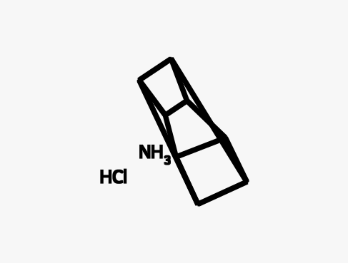 C12C3C4C1C1C2C3C41.Cl.N